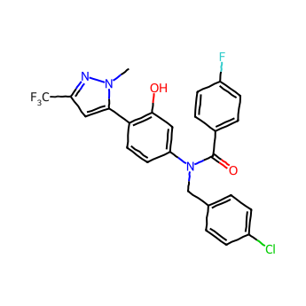 Cn1nc(C(F)(F)F)cc1-c1ccc(N(Cc2ccc(Cl)cc2)C(=O)c2ccc(F)cc2)cc1O